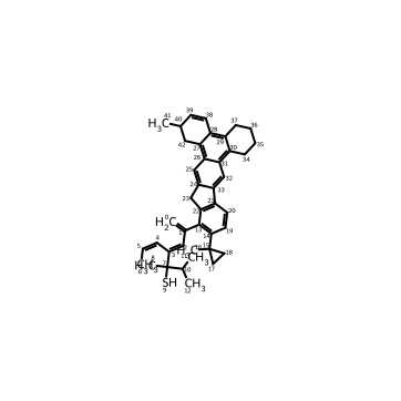 C=C(/C=C(\C=C/C)C(C)(S)C(C)C)c1c(C2(C)CC2)ccc2c1Cc1cc3c4c(c5c(c3cc1-2)CCCC5)C=CC(C)C4